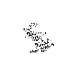 CC[C@H](C)[C@H](NC(=O)[C@@H](N)CCC(=O)O)C(=O)N[C@@H](CC(=O)O)C(=O)N[C@@H](CC(C)C)[C@@H](O)CN[C@@H](CCSC)C(=O)N[C@H](C(=O)N[C@@H](CC(C)C)C(N)=O)C(C)C